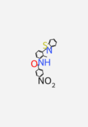 Cc1c(NC(=O)c2ccc([N+](=O)[O-])cc2)cccc1-c1nc2ccccc2s1